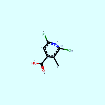 Cc1c(C(=O)O)cc(Br)nc1Cl